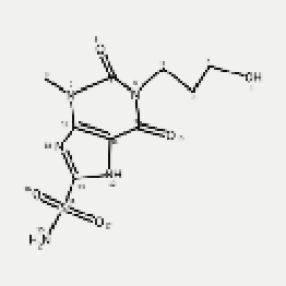 Cn1c(=O)n(CCCO)c(=O)c2[nH]c(S(N)(=O)=O)nc21